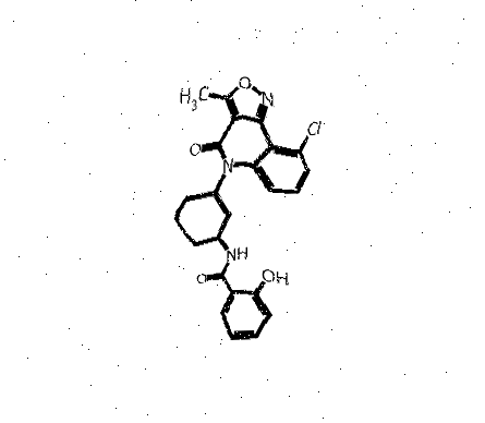 Cc1onc2c1c(=O)n(C1CCCC(NC(=O)c3ccccc3O)C1)c1cccc(Cl)c21